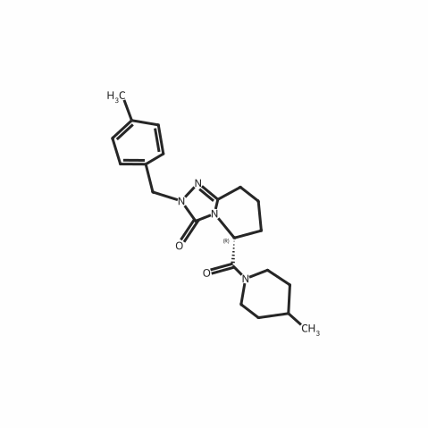 Cc1ccc(Cn2nc3n(c2=O)[C@@H](C(=O)N2CCC(C)CC2)CCC3)cc1